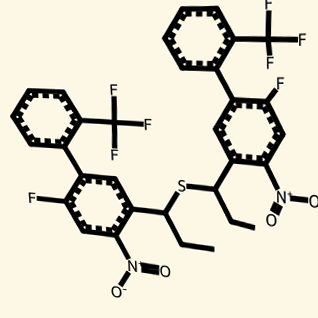 CCC(SC(CC)c1cc(-c2ccccc2C(F)(F)F)c(F)cc1[N+](=O)[O-])c1cc(-c2ccccc2C(F)(F)F)c(F)cc1[N+](=O)[O-]